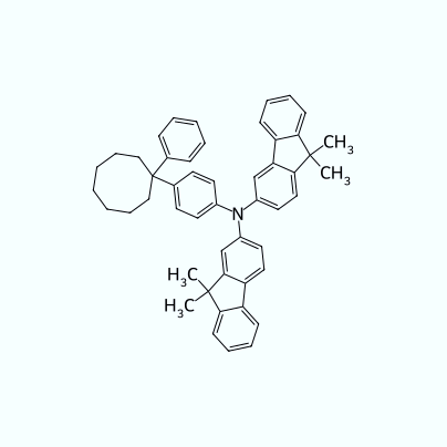 CC1(C)c2ccccc2-c2cc(N(c3ccc(C4(c5ccccc5)CCCCCCC4)cc3)c3ccc4c(c3)C(C)(C)c3ccccc3-4)ccc21